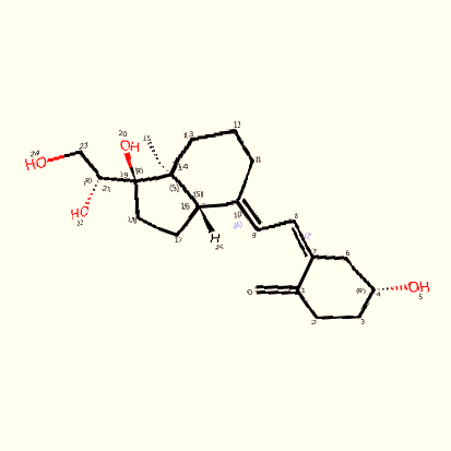 C=C1CC[C@@H](O)C/C1=C/C=C1\CCC[C@@]2(C)[C@H]1CC[C@]2(O)[C@H](O)CO